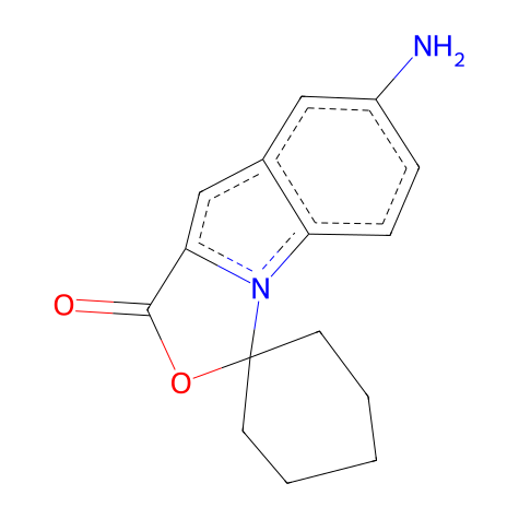 Nc1ccc2c(c1)cc1n2C2(CCCCC2)OC1=O